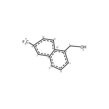 OCc1ccnc2cc(C(F)(F)F)ccc12